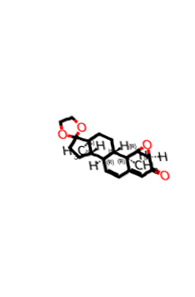 C[C@@]12C(=CC(=O)[C@@H]3O[C@@H]31)C=C[C@@H]1[C@@H]2CC[C@@]2(C)[C@H]1CCC21OCCO1